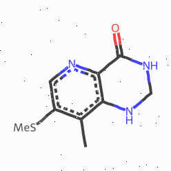 CSc1cnc2c(c1C)NCNC2=O